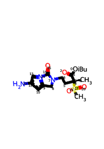 CC(C)COC(=O)[C@@](C)(CCN1Cc2cc(N)cn2C1=O)S(C)(=O)=O